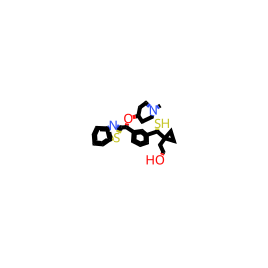 CN1CCC(OC(c2cccc(C(S)C3(CCO)CC3)c2)c2nc3ccccc3s2)CC1